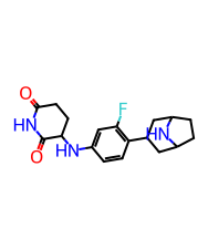 O=C1CCC(Nc2ccc(C3CC4CCC(C3)N4)c(F)c2)C(=O)N1